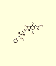 NC(Cc1ccccc1)C(=O)NC1CCN(c2nc3c(cc2F)c(=O)c(OC(=O)O)cn3C2CC2)C1